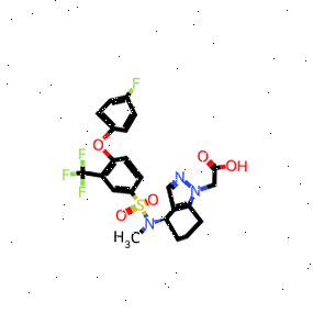 CN([C@@H]1CCCc2c1cnn2CC(=O)O)S(=O)(=O)c1ccc(Oc2ccc(F)cc2)c(C(F)(F)F)c1